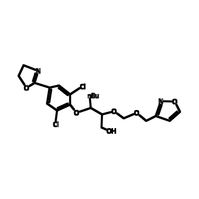 CCCCC(Oc1c(Cl)cc(C2=NCCO2)cc1Cl)C(CO)OCOCc1ccon1